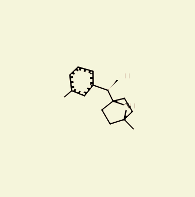 CC12CCC([C@H](O)c3cccc(F)c3)(CC1)N2